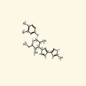 N#Cc1ccc(S[C@H]2OC(CO)[C@H](O)[C@H](n3cc(-c4csc(O)n4)nn3)C2O)cc1Br